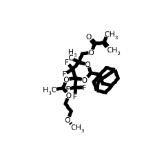 C=C(C)C(=O)OCC1(C)OC(C23CC4CC(CC(C4)C2)C3)OC(OC(C)OCCOC)(C(F)(F)F)C1(F)F